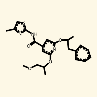 COCC(C)Oc1cc(C(=O)Nc2nc(C)cs2)cc(OC(C)Cc2ccccc2)n1